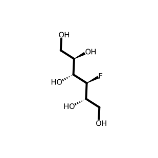 OC[C@@H](O)[C@@H](O)[C@@H](F)[C@@H](O)CO